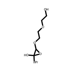 CCCC1(O)OC1OCCOCCO